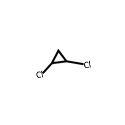 ClC1CC1Cl